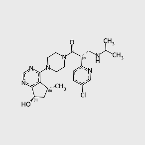 CC(C)NC[C@@H](C(=O)N1CCN(c2ncnc3c2[C@H](C)C[C@H]3O)CC1)c1ccc(Cl)cn1